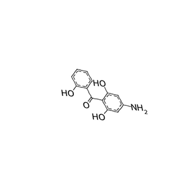 Nc1cc(O)c(C(=O)c2ccccc2O)c(O)c1